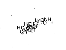 CC(=O)O[C@@H]([C@H]1C[C@@H](C)[C@H]2[C@H](O1)[C@H](O)[C@@]1(C)[C@@H]3CC[C@H]4C(C)(C)C(OC(N)=O)CC[C@@]45C[C@@]35CC[C@]21C)C(C)(C)O